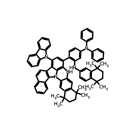 CC1(C)CCC(C)(C)c2cc(Nc3cc(N(c4ccccc4)c4ccccc4)ccc3-c3cc(-n4c5ccccc5c5ccccc54)c4c5ccc6ccccc6c5n5c4c3Bc3cc4c(cc3-5)C(C)(C)CCC4(C)C)ccc21